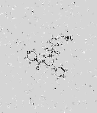 NCc1cnc(S(=O)(=O)N2C[C@@H](C(=O)N3CCOCC3)C[C@@H](c3ccccc3)C2)s1